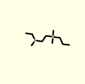 CCC[N+](C)(C)CCN(C)CC